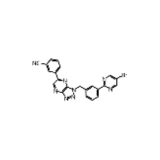 N#Cc1cccc(-c2cnc3nnn(Cc4cccc(-c5ncc(Br)cn5)c4)c3n2)c1